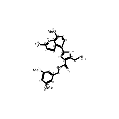 COc1cc(CNC(=O)c2nc(-c3ccc(OC)c4nc(C(F)(F)F)ccc34)oc2CN)cc(OC)c1